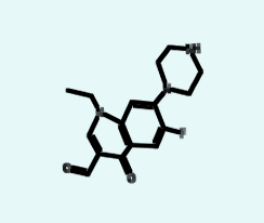 CCn1cc(C=O)c(=O)c2cc(F)c(N3CCNCC3)cc21